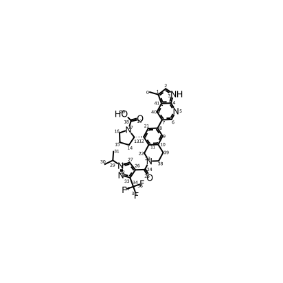 Cc1c[nH]c2ncc(-c3cc4c(c([C@@H]5CCCN5C(=O)O)c3)CN(C(=O)c3cn(C(C)C)nc3C(F)(F)F)CC4)cc12